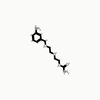 NC(=O)OCCOCCOCc1cccc(N)c1